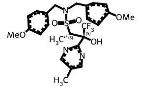 COc1ccc(CN(Cc2ccc(OC)cc2)S(=O)(=O)[C@@H](C)[C@](O)(c2ncc(C)cn2)C(F)(F)F)cc1